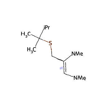 CN/C=C(/CSC(C)(C)C(C)C)NC